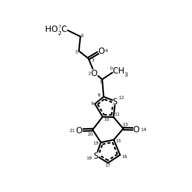 CC(OC(=O)CCC(=O)O)c1cc2c(s1)C(=O)c1ccsc1C2=O